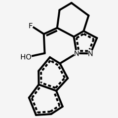 OC/C(F)=C1/CCCc2cnn(-c3ccc4ccccc4c3)c21